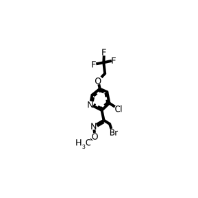 CO/N=C(\CBr)c1ncc(OCC(F)(F)F)cc1Cl